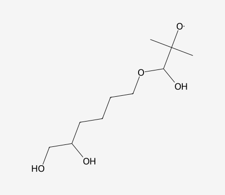 CC(C)([O])C(O)OCCCCC(O)CO